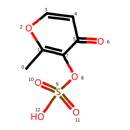 Cc1occc(=O)c1OS(=O)(=O)O